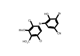 COc1c(Cl)ccc(Cl)c1C(=O)O.N#Cc1cc(Br)c(O)c(Br)c1